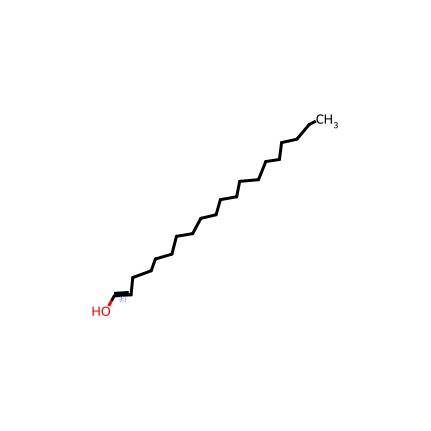 CCCCCCCCCCCCCCCCCC/C=C/O